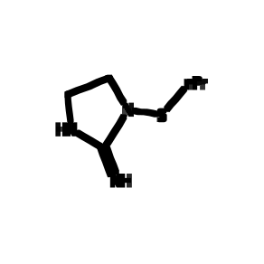 CCCSN1CCNC1=N